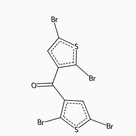 O=C(c1cc(Br)sc1Br)c1cc(Br)sc1Br